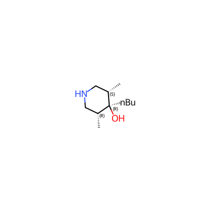 CCCC[C@]1(O)[C@H](C)CNC[C@@H]1C